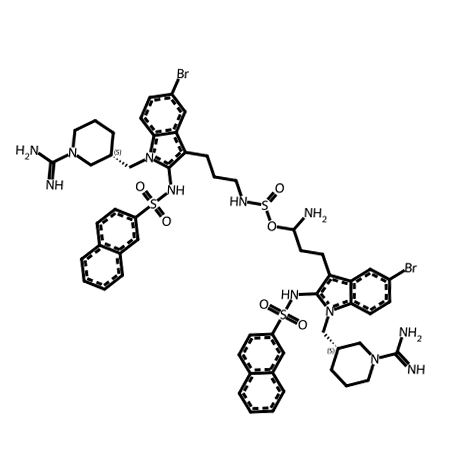 N=C(N)N1CCC[C@H](Cn2c(NS(=O)(=O)c3ccc4ccccc4c3)c(CCCNS(=O)OC(N)CCc3c(NS(=O)(=O)c4ccc5ccccc5c4)n(C[C@H]4CCCN(C(=N)N)C4)c4ccc(Br)cc34)c3cc(Br)ccc32)C1